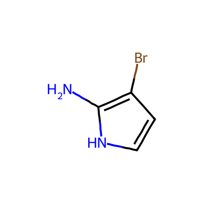 Nc1[nH]ccc1Br